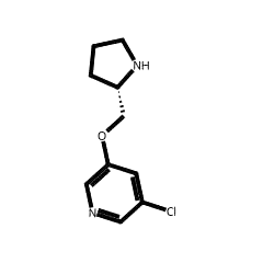 Clc1cncc(OC[C@@H]2CCCN2)c1